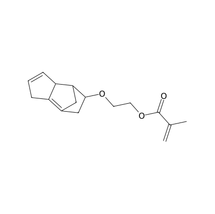 C=C(C)C(=O)OCCOC1CC2=C3CC=CC3C1C2